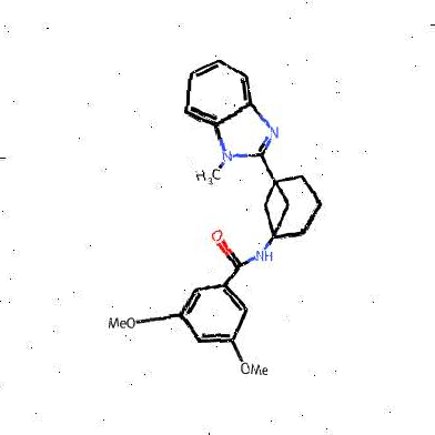 COc1cc(OC)cc(C(=O)NC23CCCC(c4nc5ccccc5n4C)(C2)C3)c1